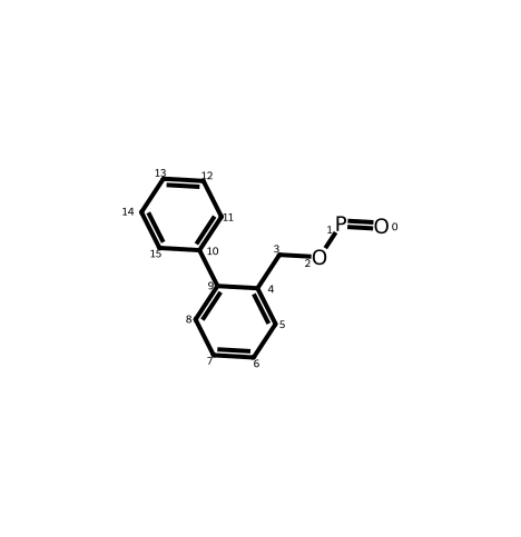 O=POCc1ccccc1-c1ccccc1